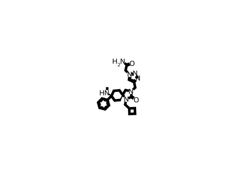 CN[C@]1(c2ccccc2)CC[C@@]2(CC1)CN(Cc1cn(CC(N)=O)nn1)C(=O)N2CC1CCC1